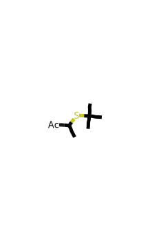 CC(=O)C(C)SC(C)(C)C